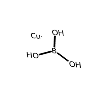 OB(O)O.[Cu]